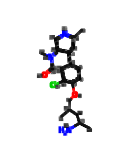 Cc1cc2c3ccc(OCC(C)CC(C)N)c(Cl)c3c(=O)n(C)c2cn1